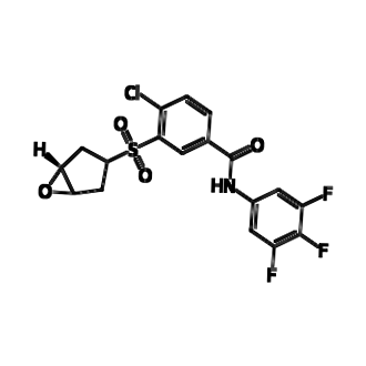 O=C(Nc1cc(F)c(F)c(F)c1)c1ccc(Cl)c(S(=O)(=O)C2CC3O[C@@H]3C2)c1